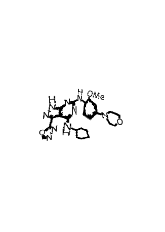 COc1cc(N2CCOCC2)ccc1Nc1nc(NC2CCCCC2)c2c(-c3nnco3)n[nH]c2n1